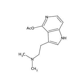 CC(=O)Oc1nccc2[nH]cc(CCN(C)C)c12